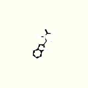 C=C(N)N(O)[C@H](C)c1cc2ccccc2s1